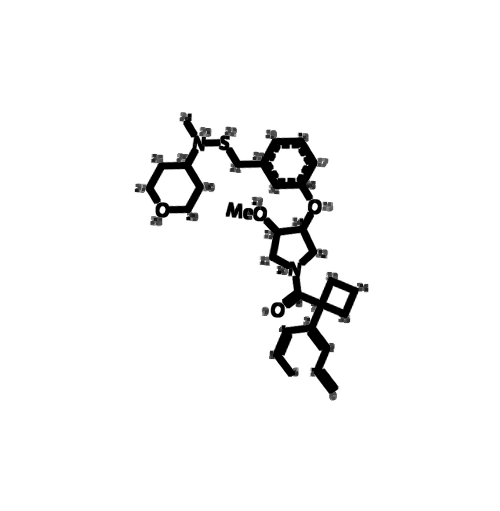 C=C/C=C(\C=C/C)C1(C(=O)N2CC(OC)C(Oc3cccc(CSN(C)C4CCOCC4)c3)C2)CCC1